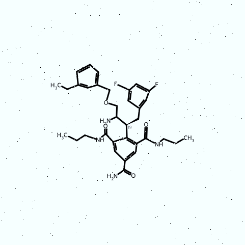 CCCNC(=O)c1cc(C(N)=O)cc(C(=O)NCCC)c1[C@H](Cc1cc(F)cc(F)c1)C(N)COCc1cccc(CC)c1